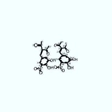 CC(=O)C(=Cc1cc(O)c(O)c([N+](=O)[O-])c1)C(C)=O.CC(=O)C(=Cc1cc(O)c(O)c([N+](=O)[O-])c1)C(C)=O